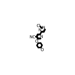 N#Cc1cc(-c2ccnc(Cl)n2)ncc1OC1CCC(=O)CC1